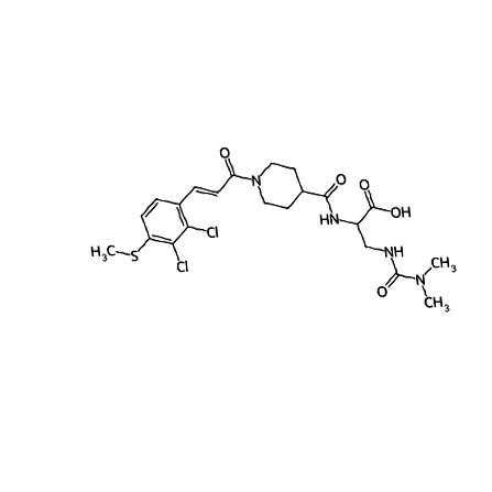 CSc1ccc(C=CC(=O)N2CCC(C(=O)NC(CNC(=O)N(C)C)C(=O)O)CC2)c(Cl)c1Cl